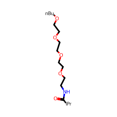 CCCCOCCOCCOCCOCCNC(=O)C(C)C